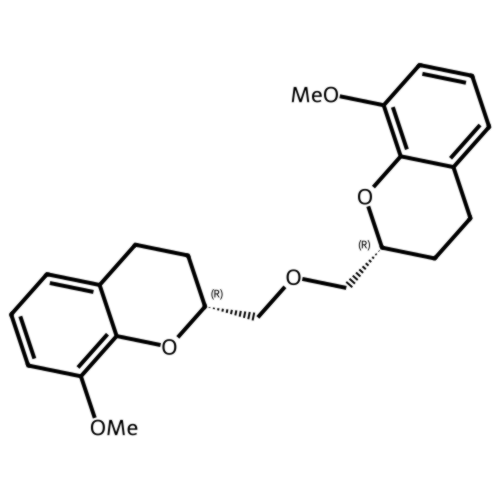 COc1cccc2c1O[C@@H](COC[C@H]1CCc3cccc(OC)c3O1)CC2